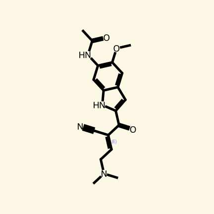 COc1cc2cc(C(=O)/C(C#N)=C/CN(C)C)[nH]c2cc1NC(C)=O